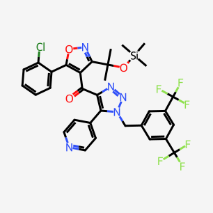 CC(C)(O[Si](C)(C)C)c1noc(-c2ccccc2Cl)c1C(=O)c1nnn(Cc2cc(C(F)(F)F)cc(C(F)(F)F)c2)c1-c1ccncc1